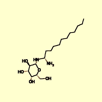 CCCCCCCCCCC[C@H](N)N[C@@H]1O[C@H](CO)[C@H](O)[C@H](O)[C@H]1O